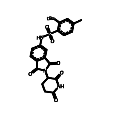 Cc1ccc(S(=O)(=O)Nc2ccc3c(c2)C(=O)N(C2CCC(=O)NC2=O)C3=O)c(C(C)(C)C)c1